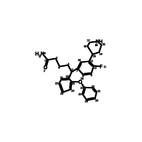 NC(=O)CCCC(c1ccc(F)c(C2CCNCC2)c1)c1ccccc1Oc1ccccc1